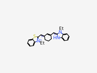 CCN1/C(=C/C2=CC(=C/c3sc4ccccc4[n+]3CC)/CCC2)Nc2ccccc21